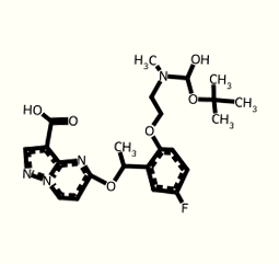 CC(Oc1ccn2ncc(C(=O)O)c2n1)c1cc(F)ccc1OCCN(C)C(O)OC(C)(C)C